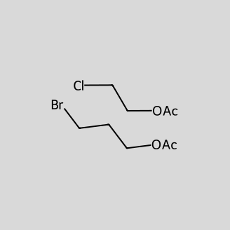 CC(=O)OCCCBr.CC(=O)OCCCl